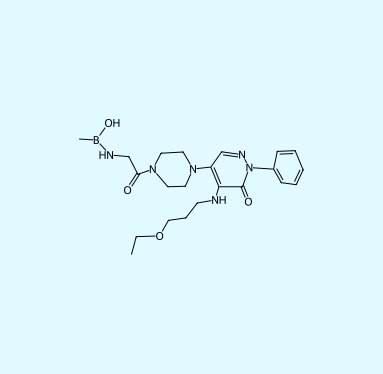 CCOCCCNc1c(N2CCN(C(=O)CNB(C)O)CC2)cnn(-c2ccccc2)c1=O